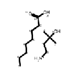 CC(C)(O)CCN.CCCCCCCC(=O)O